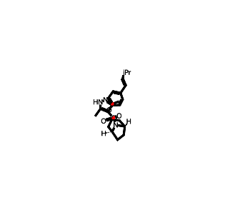 Cc1n[nH]c(C)c1S(=O)(=O)N1[C@@H]2CC[C@H]1C[C@H](Oc1ccc(/C=C/C(C)C)cc1)C2